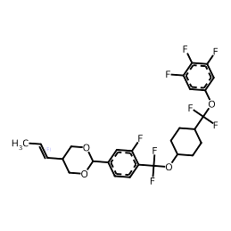 C/C=C/C1COC(c2ccc(C(F)(F)OC3CCC(C(F)(F)Oc4cc(F)c(F)c(F)c4)CC3)c(F)c2)OC1